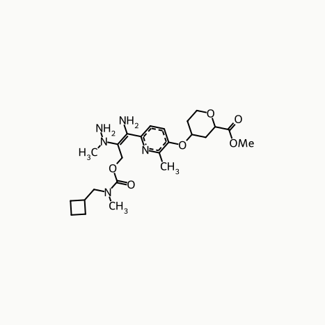 COC(=O)C1CC(Oc2ccc(/C(N)=C(\COC(=O)N(C)CC3CCC3)N(C)N)nc2C)CCO1